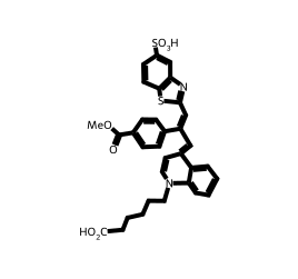 COC(=O)c1ccc(C(=C\c2nc3cc(S(=O)(=O)O)ccc3s2)/C=C2\C=CN(CCCCCC(=O)O)c3ccccc32)cc1